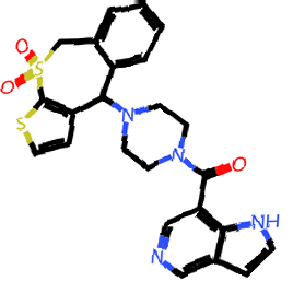 O=C(c1cncc2cc[nH]c12)N1CCN(C2c3ccccc3CS(=O)(=O)c3sccc32)CC1